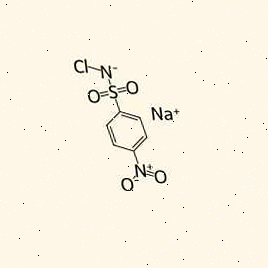 O=[N+]([O-])c1ccc(S(=O)(=O)[N-]Cl)cc1.[Na+]